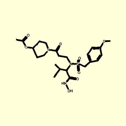 COc1ccc(CS(=O)(=O)N(CCC(=O)N2CCC(OC(C)=O)CC2)C(C(=O)NO)C(C)C)cc1